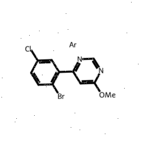 COc1cc(-c2cc(Cl)ccc2Br)ncn1.[Ar]